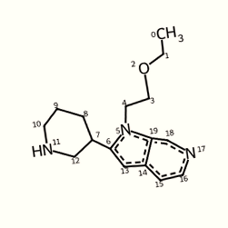 CCOCCn1c(C2CCCNC2)cc2ccncc21